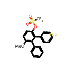 COc1ccc(OS(=O)(=O)C(F)(F)F)c(-c2ccccc2)c1-c1ccccc1.S